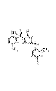 Cc1ccc(C)c(C(=S)c2ccc(Nc3ccc(Br)cc3C)cc2Cl)c1